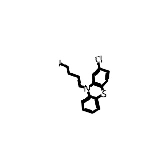 Clc1ccc2c(c1)N(CCCCI)c1ccccc1S2